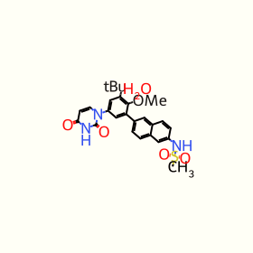 COc1c(-c2ccc3cc(NS(C)(=O)=O)ccc3c2)cc(-n2ccc(=O)[nH]c2=O)cc1C(C)(C)C.O